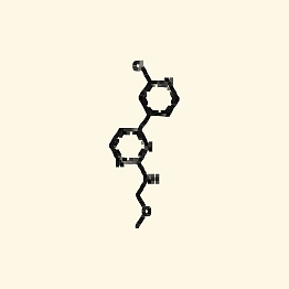 COCNc1nccc(-c2ccnc(Cl)c2)n1